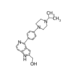 CC(C)N1CCN(c2ccc(-c3nccc4[nH]c(CO)cc34)cc2)CC1